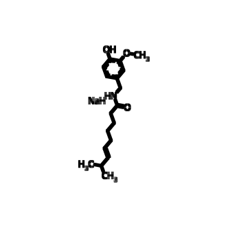 COc1cc(CNC(=O)CCCCC=CC(C)C)ccc1O.[NaH]